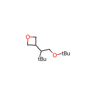 CC(C)(C)OCC(C1COC1)C(C)(C)C